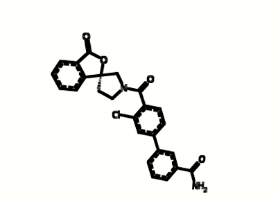 NC(=O)c1cccc(-c2ccc(C(=O)N3CC[C@@]4(C3)OC(=O)c3ccccc34)c(Cl)c2)c1